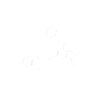 COc1ccc(S(C)(=O)=O)cc1NCC#Cc1cc(NS(=O)(=O)C2CCN(C)CC2)c2ccn(CC(F)(F)F)c2c1